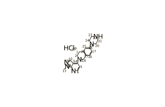 C[C@H]1CN(c2ccnc3c2cnn3C)Cc2ccc(N3CCNCC3)cc21.Cl